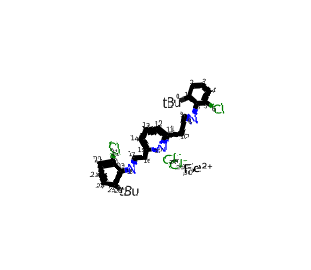 CC(C)(C)c1cccc(Cl)c1N=CCc1cccc(CC=Nc2c(Cl)cccc2C(C)(C)C)n1.[Cl-].[Cl-].[Fe+2]